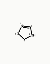 C1=NSCN1